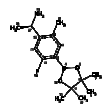 Cc1cc(B2OC(C)(C)C(C)(C)O2)c(F)cc1[C@@H](C)N